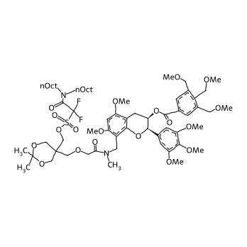 CCCCCCCCN(CCCCCCCC)C(=O)C(F)(F)S(=O)(=O)OCC1(COCC(=O)N(C)Cc2c(OC)cc(OC)c3c2O[C@H](c2cc(OC)c(OC)c(OC)c2)[C@H](OC(=O)c2cc(COC)c(COC)c(COC)c2)C3)COC(C)(C)OC1